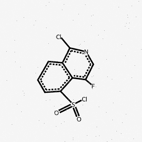 O=S(=O)(Cl)c1cccc2c(Cl)ncc(F)c12